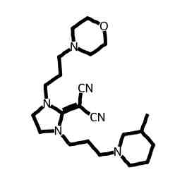 CC1CCCN(CCCN2CCN(CCCN3CCOCC3)C2=C(C#N)C#N)C1